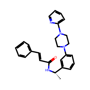 C[C@H](NC(=O)/C=C/c1ccccc1)c1cccc(N2CCN(c3ccccn3)CC2)c1